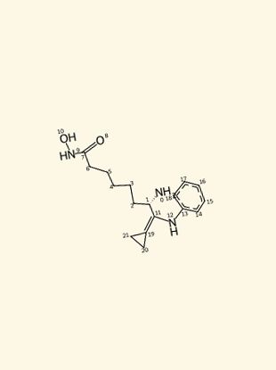 N[C@@H](CCCCCC(=O)NO)C(Nc1ccccc1)=C1CC1